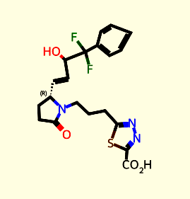 O=C(O)c1nnc(CCCN2C(=O)CC[C@@H]2C=CC(O)C(F)(F)c2ccccc2)s1